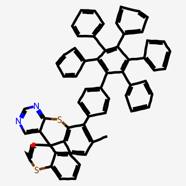 Cc1ccc2c(c1-c1ccc(-c3c(-c4ccccc4)c(-c4ccccc4)c(-c4ccccc4)c(-c4ccccc4)c3-c3ccccc3)cc1)Sc1ncncc1C21c2ccccc2Sc2ccccc21